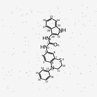 O=C(Nc1ccc2c(c1)SCCN2c1ccccc1)Nc1c[nH]c2ccccc12